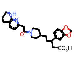 O=C(O)CC(CCC1CCN(C(=O)Cc2ccc3c(n2)NCCC3)CC1)c1ccc2c(c1)OCO2